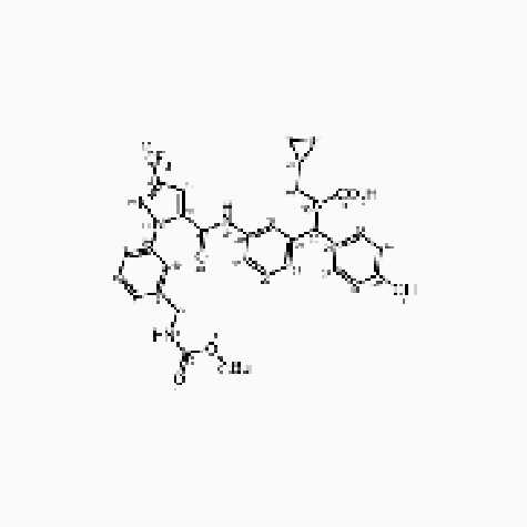 CC(C)(C)OC(=O)NCc1cccc(-n2nc(C(F)(F)F)cc2C(=O)Nc2cccc(C(c3ccc(O)cc3)N(CC3CC3)C(=O)O)c2)c1